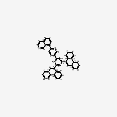 c1cc(-c2ccc(-c3nc(-c4cc5ccccc5c5ccccc45)nc(-c4cc5ccccc5c5ccccc45)n3)cn2)c2cnccc2c1